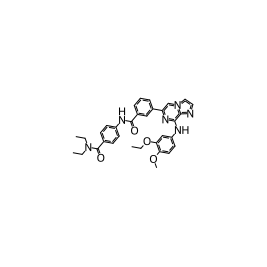 CCOc1cc(Nc2nc(-c3cccc(C(=O)Nc4ccc(C(=O)N(CC)CC)cc4)c3)cn3ccnc23)ccc1OC